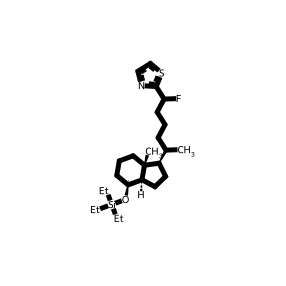 CC[Si](CC)(CC)O[C@H]1CCC[C@]2(C)[C@@H](C(C)CCCC(F)c3nccs3)CC[C@@H]12